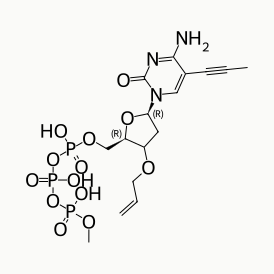 C=CCOC1C[C@H](n2cc(C#CC)c(N)nc2=O)O[C@@H]1COP(=O)(O)OP(=O)(O)OP(=O)(O)OC